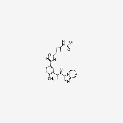 Cc1ccc(-c2noc(C3CC(NC(=O)O)C3)n2)cc1NC(=O)c1cnc2ccccn12